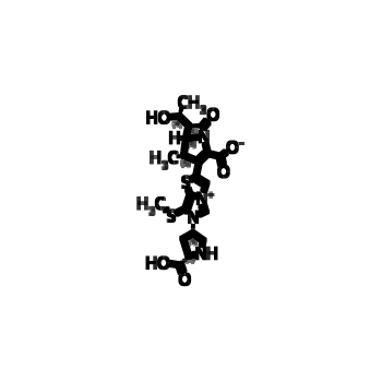 CSc1c2sc(C3=C(C(=O)[O-])N4C(=O)[C@H]([C@@H](C)O)[C@H]4[C@H]3C)c[n+]2cn1[C@@H]1CN[C@H](C(=O)O)C1